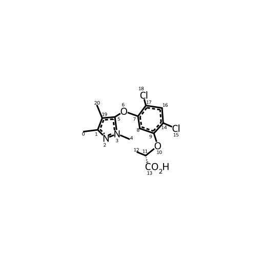 Cc1nn(C)c(Oc2cc(O[C@@H](C)C(=O)O)c(Cl)cc2Cl)c1C